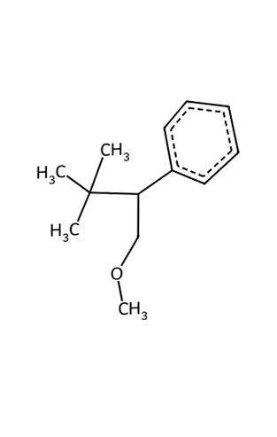 COCC(c1ccccc1)C(C)(C)C